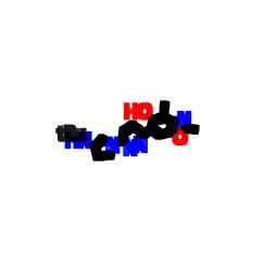 Cc1nc2c(C)c(O)c(-c3ccc(N4CC[C@@H](NC(C)(C)C)C4)nn3)cc2o1